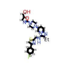 CCc1nc2ccc(N3CCN(C4=NCC(CO)O4)CC3)cn2c1NCc1nc(-c2ccc(F)cc2)cs1